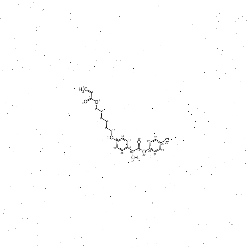 C=CC(=O)OCCCCCCOc1ccc(C(C)C(=O)Oc2ccc(Cl)cc2)cc1